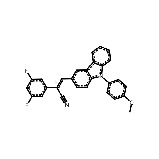 COc1ccc(-n2c3ccccc3c3cc(/C=C(\C#N)c4cc(F)cc(F)c4)ccc32)cc1